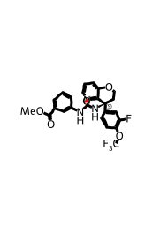 COC(=O)c1cccc(NC(=O)N[C@]2(c3ccc(OC(F)(F)F)c(F)c3)CCOc3cccnc32)c1